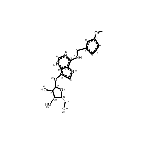 COc1cccc(CNc2ncnc3c2ncn3OC2O[C@H](CO)[C@@H](O)[C@H]2O)c1